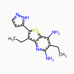 CCc1c(N)nc2c(CC)c(-c3ccn[nH]3)sc2c1N